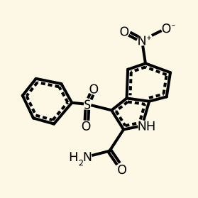 NC(=O)c1[nH]c2ccc([N+](=O)[O-])cc2c1S(=O)(=O)c1ccccc1